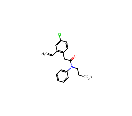 C=Cc1cc(Cl)ccc1CC(=O)N(CCC(=O)O)c1ccccc1